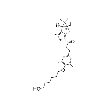 Cc1cc(CCC(=O)c2sc(C)c3c2C[C@@H]2[C@H]3C2(C)C)cc(C)c1OCCCCCCO